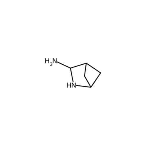 NC1NC2CC1C2